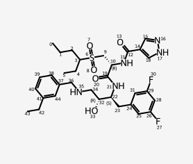 CCCC(CC)S(=O)(=O)C[C@H](NC(=O)c1cn[nH]c1)C(=O)N[C@@H](Cc1cc(F)cc(F)c1)[C@H](O)CNCc1cccc(CC)c1